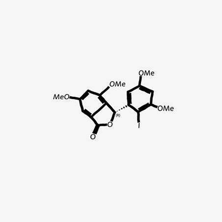 COc1cc(OC)c2c(c1)C(=O)O[C@H]2c1cc(OC)cc(OC)c1I